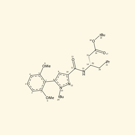 COc1cccc(OC)c1-c1cc(C(=O)N[C@H](CC(=O)OC(C)(C)C)CC(C)C)nn1C(C)(C)C